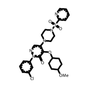 COC1CCC(Oc2c(N3CCN(S(=O)(=O)c4ccccn4)CC3)cnn(-c3cccc(Cl)c3)c2=O)CC1